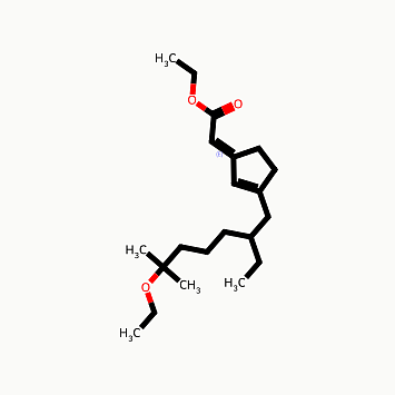 CCOC(=O)/C=C1/C=C(CC(CC)CCCC(C)(C)OCC)CC1